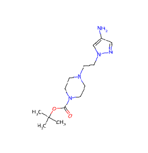 CC(C)(C)OC(=O)N1CCN(CCn2cc(N)cn2)CC1